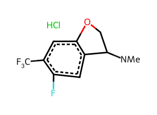 CNC1COc2cc(C(F)(F)F)c(F)cc21.Cl